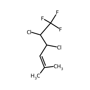 CC(C)=CC(Cl)C(Cl)C(F)(F)F